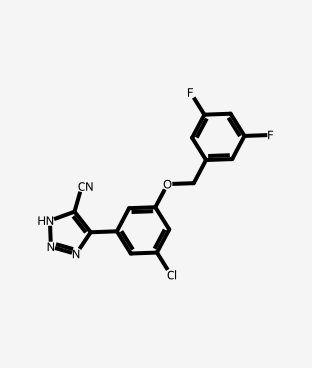 N#Cc1[nH]nnc1-c1cc(Cl)cc(OCc2cc(F)cc(F)c2)c1